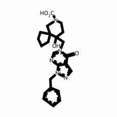 O=C(O)N1CCC(O)(Cn2cnc3c(cnn3Cc3ccccc3)c2=O)C2(CCCC2)C1